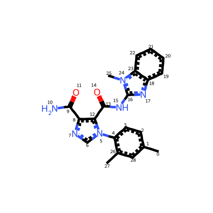 Cc1ccc(-n2cnc(C(N)=O)c2C(=O)Nc2nc3ccccc3n2C)c(C)c1